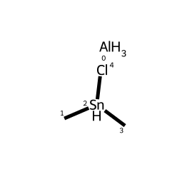 [AlH3].[CH3][SnH]([CH3])[Cl]